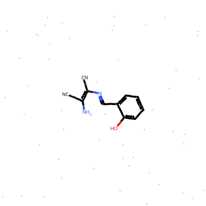 N#CC(N)=C(C#N)N=Cc1ccccc1O